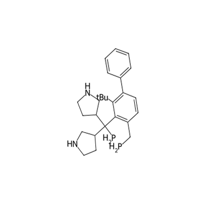 CC(C)(C)c1c(-c2ccccc2)ccc(CP)c1C(P)(C1CCNC1)C1CCNC1